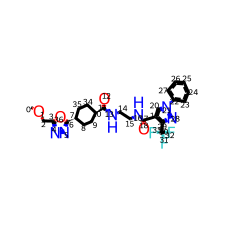 COCc1nnc([C@H]2CC[C@H](C(=O)NCCNC(=O)c3cn(-c4ccccc4)nc3C(F)(F)F)CC2)o1